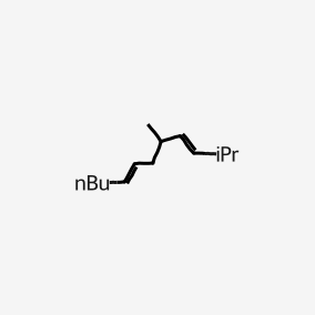 [CH2]C(C)C=CC(C)CC=CCCCC